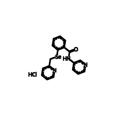 Cl.O=C(Nc1cccnc1)c1ccccc1[Se]Cc1ccccn1